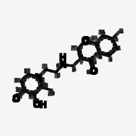 Cc1ccc2c(=O)c(CNCCn3ccc(=O)c(O)c3C)coc2c1